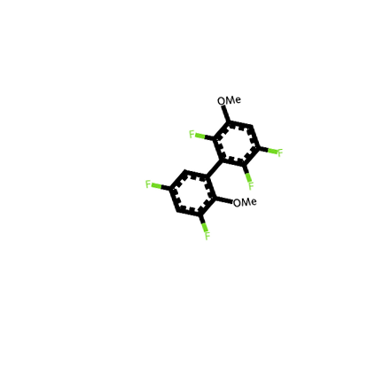 COc1cc(F)c(F)c(-c2[c]c(F)cc(F)c2OC)c1F